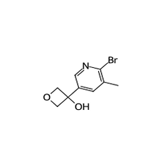 Cc1cc(C2(O)COC2)cnc1Br